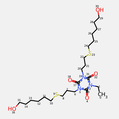 CCn1c(=O)n(CCCSCCCCCCO)c(=O)n(CCCSCCCCCCO)c1=O